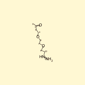 CC(=O)CCOCCOCCNN